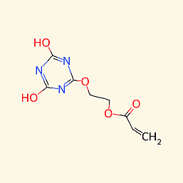 C=CC(=O)OCCOc1nc(O)nc(O)n1